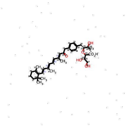 CC1=C(/C=C/C(C)=C/C=C/C(C)=C/C(=O)Cc2ccc(C[C@H](OC(C(=O)O)[C@@H](O)CO)C(C)O)cc2)C(C)(C)CCC1